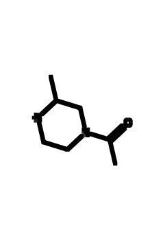 CC(=O)N1CC[N]C(C)C1